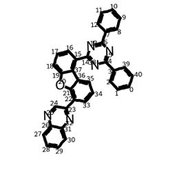 c1ccc(-c2nc(-c3ccccc3)nc(-c3cccc4oc5c(-c6cnc7ccccc7n6)cccc5c34)n2)cc1